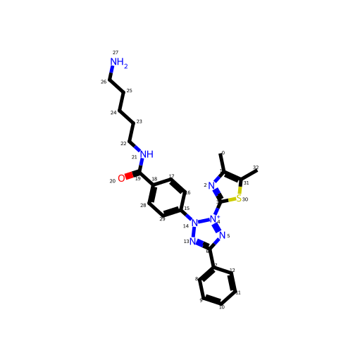 Cc1nc(-[n+]2nc(-c3ccccc3)nn2-c2ccc(C(=O)NCCCCCN)cc2)sc1C